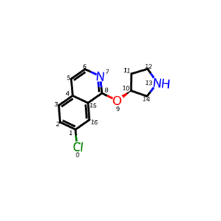 Clc1ccc2ccnc(O[C@H]3CCNC3)c2c1